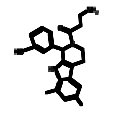 Cc1cc(C)c2[nH]c3c(c2c1)CCN(C(=O)CCN)C3c1cccc(O)c1